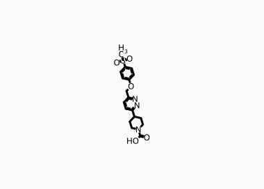 CS(=O)(=O)c1ccc(OCc2ccc(C3CCN(C(=O)O)CC3)nn2)cc1